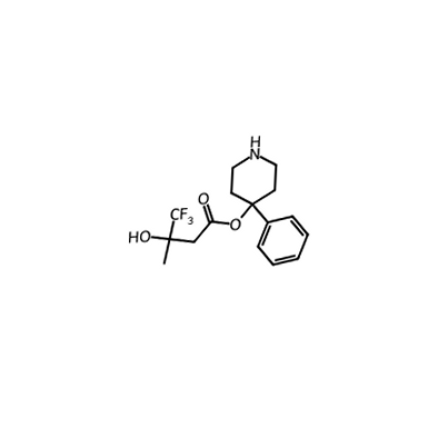 CC(O)(CC(=O)OC1(c2ccccc2)CCNCC1)C(F)(F)F